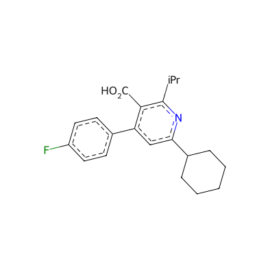 CC(C)c1nc(C2CCCCC2)cc(-c2ccc(F)cc2)c1C(=O)O